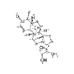 CC(CO)[C@H]1CC[C@H]2[C@@H]3CC[C@H]4C(F)C(=O)C=C[C@]4(C)[C@H]3CC[C@]12C